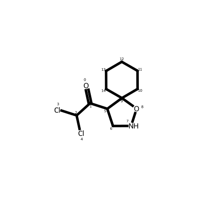 O=C(C(Cl)Cl)C1CNOC12CCCCC2